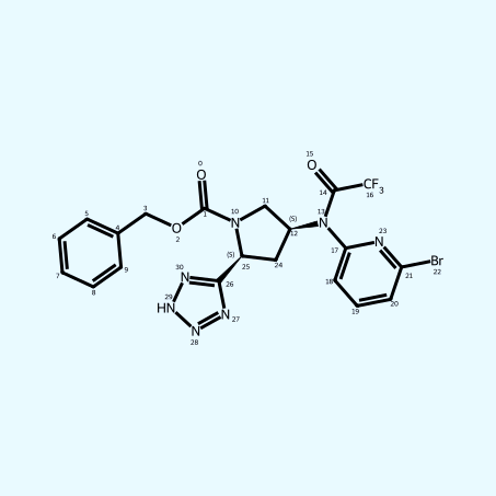 O=C(OCc1ccccc1)N1C[C@@H](N(C(=O)C(F)(F)F)c2cccc(Br)n2)C[C@H]1c1nn[nH]n1